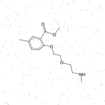 CNCCOCCOc1ccc(C)cc1C(=O)OC